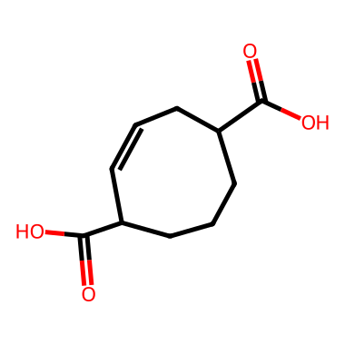 O=C(O)C1C=CCC(C(=O)O)CCC1